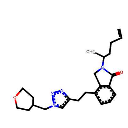 C=CCCC(C=O)N1Cc2c(CCc3cn(CC4CCOCC4)nn3)cccc2C1=O